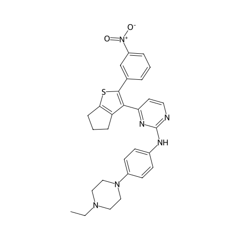 CCN1CCN(c2ccc(Nc3nccc(-c4c(-c5cccc([N+](=O)[O-])c5)sc5c4CCC5)n3)cc2)CC1